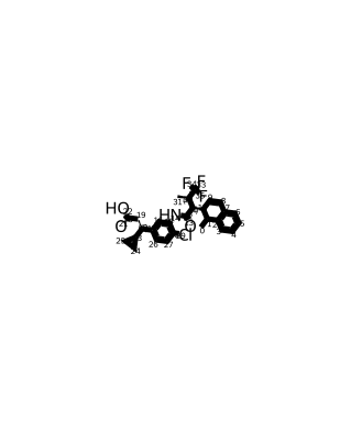 CC1c2ccccc2C=CC1[C@@H](C(=O)Nc1cc([C@@H](CC(=O)O)C2CC2)ccc1Cl)[C@@H](C)C(F)(F)F